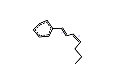 CCC/C=C\C=C\c1ccccc1